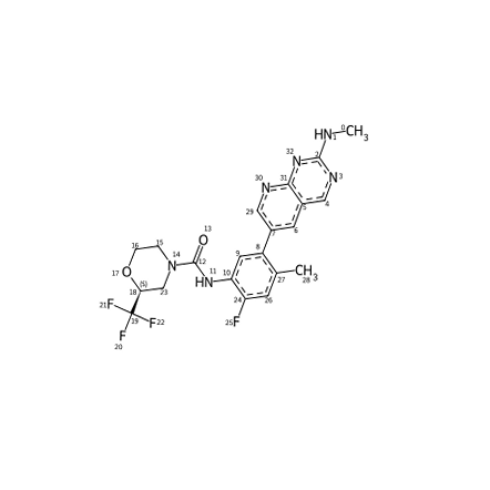 CNc1ncc2cc(-c3cc(NC(=O)N4CCO[C@H](C(F)(F)F)C4)c(F)cc3C)cnc2n1